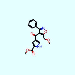 COCc1onc(-c2ccccc2)c1C(=O)c1c[nH]c(C(=O)OC)c1